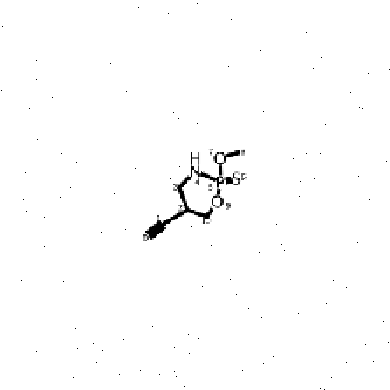 C#CC1CNP(=S)(OC)OC1